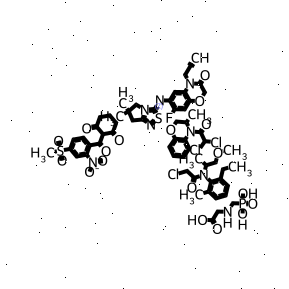 C#CCN1C(=O)COc2cc(F)c(/N=c3\snc4n3CC(C)(C)C4)cc21.CC1COc2ccccc2N1C(=O)C(Cl)Cl.CCc1cccc(C)c1N(C(=O)CCl)C(C)COC.CS(=O)(=O)c1ccc(C(=O)C2C(=O)CCCC2=O)c([N+](=O)[O-])c1.O=C(O)CNCP(=O)(O)O